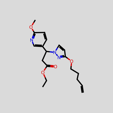 C=CCCCOc1ccn(C(CC(=O)OCC)c2ccc(OC)nc2)n1